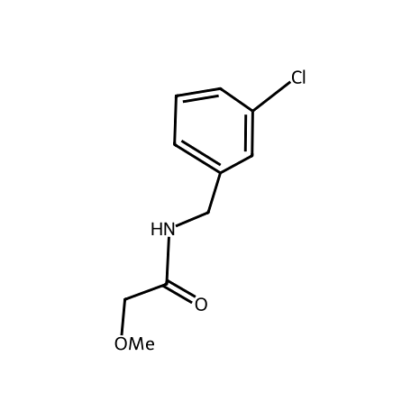 COCC(=O)NCc1cccc(Cl)c1